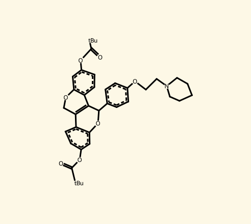 CC(C)(C)C(=O)Oc1ccc2c(c1)OC(c1ccc(OCCN3CCCCC3)cc1)C1=C2COc2cc(OC(=O)C(C)(C)C)ccc21